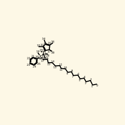 CCCCCCCCCCCCCCCCCC[Si](C)(c1ccccc1)[Ti]([CH3])([CH3])([CH3])[C]1=C(C)C(C)=C(C)C1C